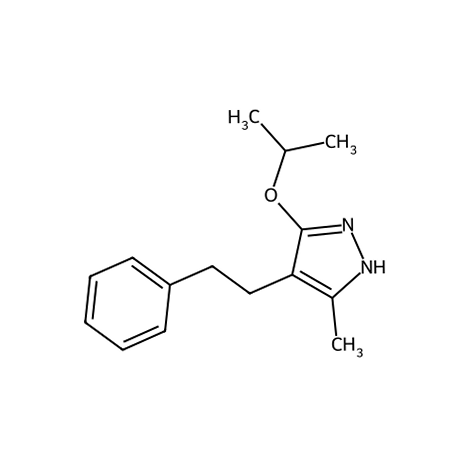 Cc1[nH]nc(OC(C)C)c1CCc1ccccc1